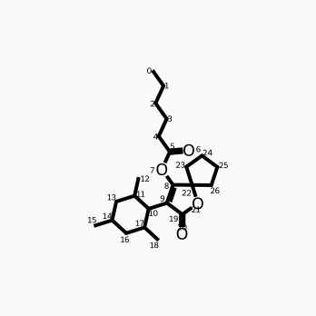 CCCCCC(=O)OC1=C(C2C(C)CC(C)CC2C)C(=O)OC12CCCC2